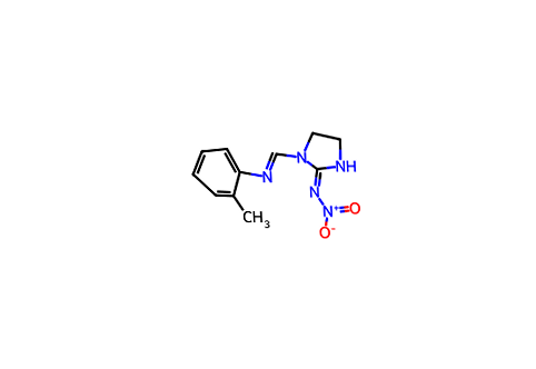 Cc1ccccc1/N=C/N1CCN/C1=N\[N+](=O)[O-]